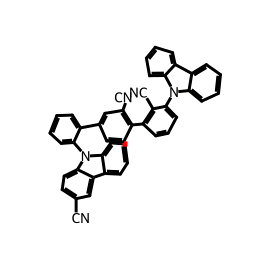 N#Cc1ccc2c(c1)c1ccccc1n2-c1ccccc1-c1ccc(-c2cccc(-n3c4ccccc4c4ccccc43)c2C#N)c(C#N)c1